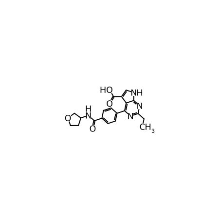 CCc1nc(-c2ccc(C(=O)NC3CCOC3)cc2)c2c(C(=O)O)c[nH]c2n1